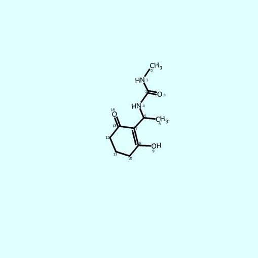 CNC(=O)NC(C)C1=C(O)CCCC1=O